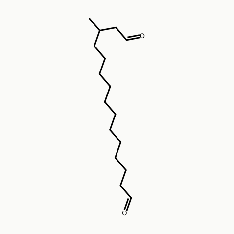 CC(CC=O)CCCCCCCCCCCC=O